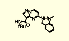 CN(C)c1ccccc1CNc1ccn2ncc(C(=O)NC(C)(C)C)c2n1